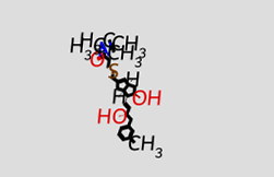 Cc1cccc(C[C@H](O)/C=C/[C@@H]2[C@H]3CC(CSCCC(=O)N(C)C(C)(C)C)=C[C@H]3C[C@H]2O)c1